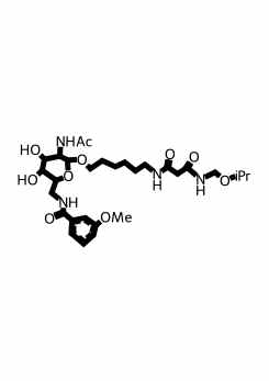 COc1cccc(C(=O)NCC2OC(OCCCCCCNC(=O)CC(=O)NCOC(C)C)C(NC(C)=O)C(O)C2O)c1